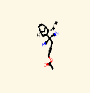 C=C=C[C@@H]1C(C(C#N)(C#N)CC#CCOC(C)=O)=C[C@H]2C=CC1C2